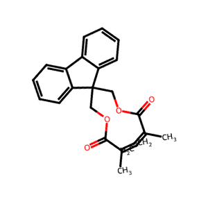 C=C(C)C(=O)OCC1(COC(=O)C(=C)C)c2ccccc2-c2ccccc21